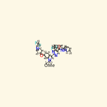 COCC(C)n1cc(-c2ncc(C(=O)NC3(C(=O)O)CC4CC(C)CC3C4)c(C(C)(F)F)n2)c2ccc(OC3CCN(CC(C)(F)F)CC3)cc21